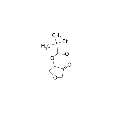 CCC(C)(C)C(=O)OC1COCC1=O